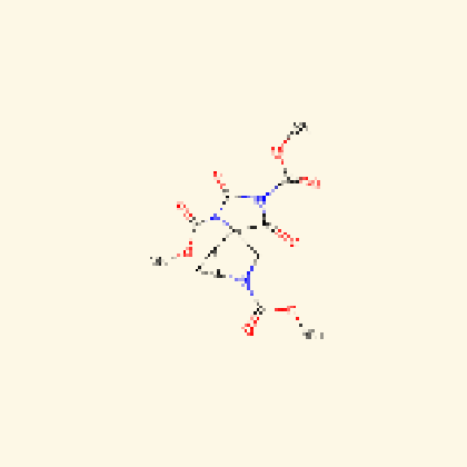 CC(C)(C)OC(=O)N1C(=O)N(C(=O)OC(C)(C)C)C2(CN(C(=O)OC(C)(C)C)C3CC32)C1=O